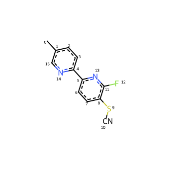 Cc1ccc(-c2ccc(SC#N)c(F)n2)nc1